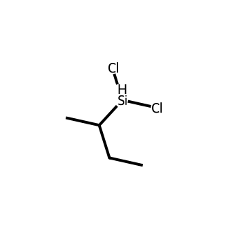 CCC(C)[SiH](Cl)Cl